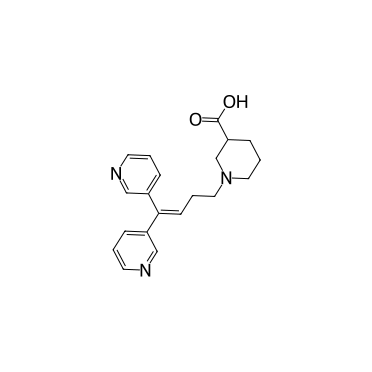 O=C(O)C1CCCN(CCC=C(c2cccnc2)c2cccnc2)C1